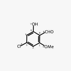 COc1cc(Cl)cc(O)c1C=O